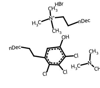 Br.CCCCCCCCCCCC[N+](C)(C)C.CCCCCCCCCCCCc1cc(O)c(Cl)c(Cl)c1Cl.CN(C)C.[Br-]